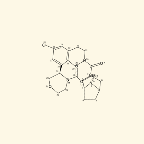 CN1C2CCC1CN(C(=O)N1CCc3cc(Cl)cc([C@@H]4COCCN4C(=O)OC(C)(C)C)c3C1)C2